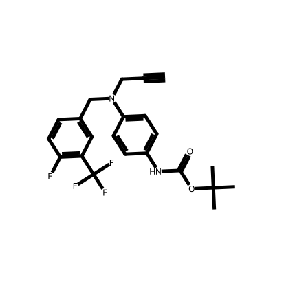 C#CCN(Cc1ccc(F)c(C(F)(F)F)c1)c1ccc(NC(=O)OC(C)(C)C)cc1